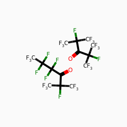 O=C(C(F)(C(F)(F)F)C(F)(F)F)C(F)(C(F)(F)F)C(F)(F)F.O=C(C(F)(F)C(F)(F)C(F)(F)F)C(F)(C(F)(F)F)C(F)(F)F